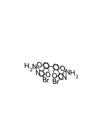 COc1c(Br)cnc(C(N)=O)c1-c1cccc(-c2cccc(-c3c(C(N)=O)ncc(Br)c3OC)c2C)c1C